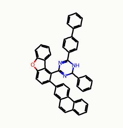 c1ccc(-c2ccc(C3=NC(c4c(-c5ccc6c(ccc7ccccc76)c5)ccc5oc6ccccc6c45)=NC(c4ccccc4)N3)cc2)cc1